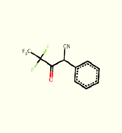 N#CC(C(=O)C(F)(F)C(F)(F)F)c1ccccc1